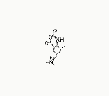 Cc1cc(C=NN(C)C)cc2c(=O)oc(=O)[nH]c12